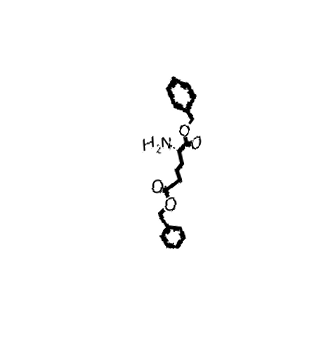 N[C@@H](CCCC(=O)OCc1ccccc1)C(=O)OCc1ccccc1